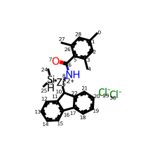 Cc1cc(C)c(C(=O)[NH][Zr+2]([CH]2c3ccccc3-c3ccccc32)[SiH](C)C)c(C)c1.[Cl-].[Cl-]